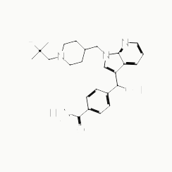 CC(C)(F)CN1CCC(Cn2cc(C(O)c3ccc(C(N)=O)cc3)c3cccnc32)CC1